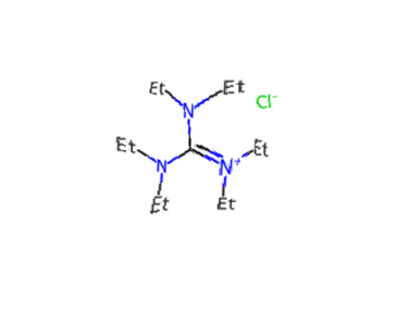 CCN(CC)C(N(CC)CC)=[N+](CC)CC.[Cl-]